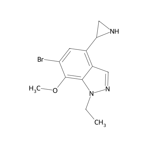 CCn1ncc2c(C3CN3)cc(Br)c(OC)c21